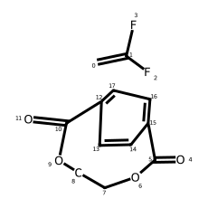 C=C(F)F.O=C1OCCOC(=O)c2ccc1cc2